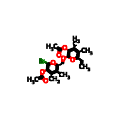 CC[C@H]1O[C@@H](OC[C@H]2O[C@H](Br)[C@H](OC(C)=O)[C@@H](C)[C@@H]2C)[C@H](OC(C)=O)[C@@H](C)[C@@H]1C